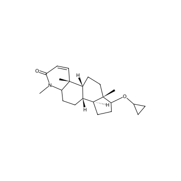 CN1C(=O)C=C[C@@]2(C)C1CC[C@@H]1[C@H]2CC[C@]2(C)C(OC3CC3)CC[C@@H]12